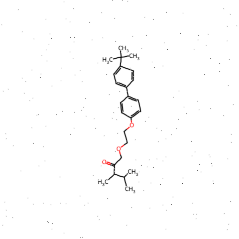 CC(C)C(C)C(=O)COCCOc1ccc(-c2ccc(C(C)(C)C)cc2)cc1